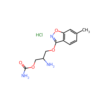 Cc1ccc2c(OCC(N)COC(N)=O)noc2c1.Cl